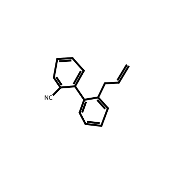 C=CCc1ccccc1-c1ccccc1C#N